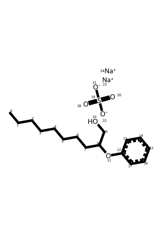 CCCCCCCCC(CO)Oc1ccccc1.O=S(=O)([O-])[O-].[Na+].[Na+]